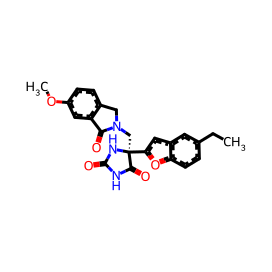 CCc1ccc2oc([C@]3(CN4Cc5ccc(OC)cc5C4=O)NC(=O)NC3=O)cc2c1